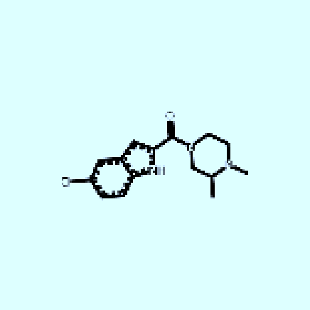 CC1CN(C(=O)c2cc3cc(Cl)ccc3[nH]2)CCN1C